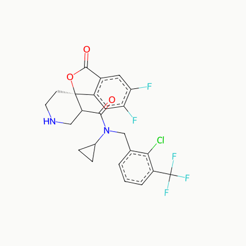 O=C1O[C@@]2(CCNCC2C(=O)N(Cc2cccc(C(F)(F)F)c2Cl)C2CC2)c2cc(F)c(F)cc21